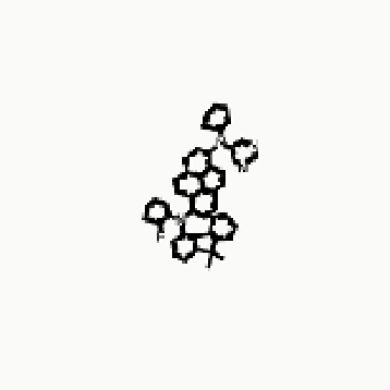 CC1(C)c2ccccc2-c2c(N(c3ccccc3F)c3ccc4ccc5c(N(c6ccccc6)c6cncnc6)ccc6ccc3c4c65)cccc21